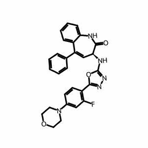 O=C1Nc2ccccc2C(c2ccccc2)=C[C@@H]1Nc1nnc(-c2ccc(N3CCOCC3)cc2F)o1